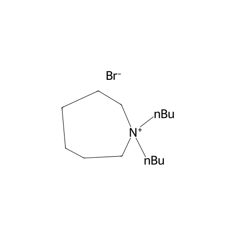 CCCC[N+]1(CCCC)CCCCCC1.[Br-]